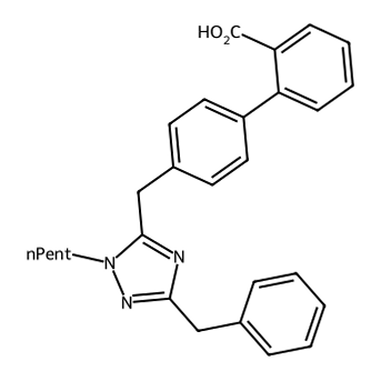 CCCCCn1nc(Cc2ccccc2)nc1Cc1ccc(-c2ccccc2C(=O)O)cc1